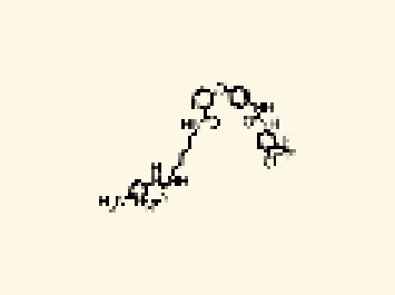 N#C/N=C(/NCCCCCCNC(=O)c1cc(Oc2ccc(NC(=O)Nc3ccc(Cl)c(C(F)(F)F)c3)cc2)ccn1)Nc1ccc(N)nc1